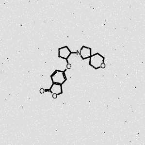 O=C1OCc2cc(OC3CCCC3N3CCC4(CCOCC4)C3)ccc21